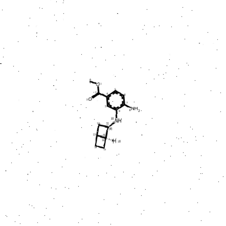 COC(=O)c1ccc(N)c(N[C@@H]2CC3CC[C@@H]32)c1